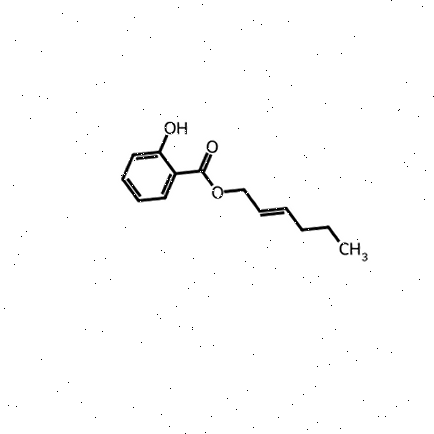 CCCC=CCOC(=O)c1ccccc1O